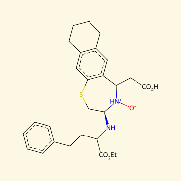 CCOC(=O)C(CCc1ccccc1)N[C@H]1CSc2cc3c(cc2C(CC(=O)O)[NH+]1[O-])CCCC3